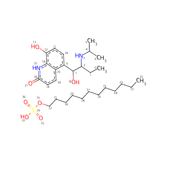 CCC(NC(C)C)C(O)c1ccc(O)c2[nH]c(=O)ccc12.CCCCCCCCCCCCOS(=O)(=O)O